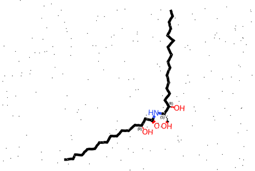 CCCCCCCCCCCCCCC[C@@H](O)[C@H](CO)NC(=O)C[C@H](O)CCCCCCCCCCCCC